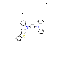 c1ccc(N(c2ccccc2)c2ccc(-n3c4ccccc4c4cc5c(cc43)sc3ccccc35)cc2)cc1